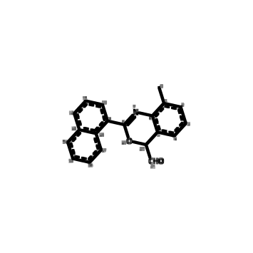 Cc1cccc2c1N=C(c1cccc3ccccc13)OC2C=O